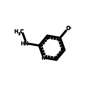 CNc1cc([O])ccn1